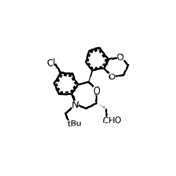 CC(C)(C)CN1C[C@@H](CC=O)O[C@H](c2cccc3c2OCCO3)c2cc(Cl)ccc21